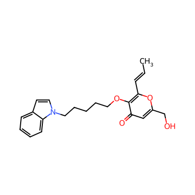 CC=Cc1oc(CO)cc(=O)c1OCCCCCn1ccc2ccccc21